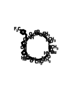 CC[C@H](C)C1NC(=O)CN(C)C(=O)CC(C)NC(=O)C(CC(C)C)N(C)C(=O)C2(CCCC2)NC(=O)C2CCCN2C(=O)C(CCc2ccc(C(F)(F)F)cc2)NC(=O)CN(C)C(=O)CN(C)C(=O)CN(C)C(=O)CN(C)C1=O